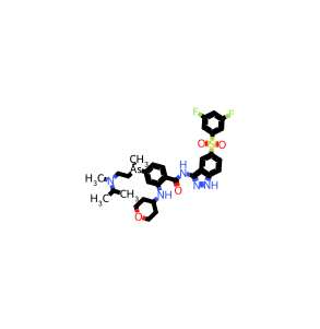 CC(C)N(C)CC[As](C)c1ccc(C(=O)Nc2n[nH]c3ccc(S(=O)(=O)c4cc(F)cc(F)c4)cc23)c(NC2CCOCC2)c1